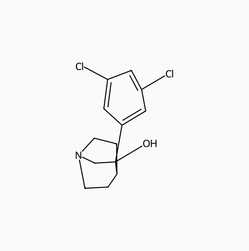 OC1(c2cc(Cl)cc(Cl)c2)CN2CCC1CC2